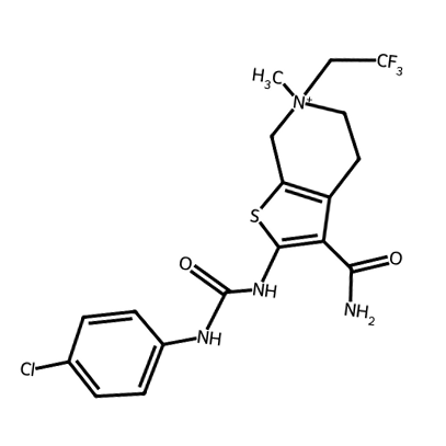 C[N+]1(CC(F)(F)F)CCc2c(sc(NC(=O)Nc3ccc(Cl)cc3)c2C(N)=O)C1